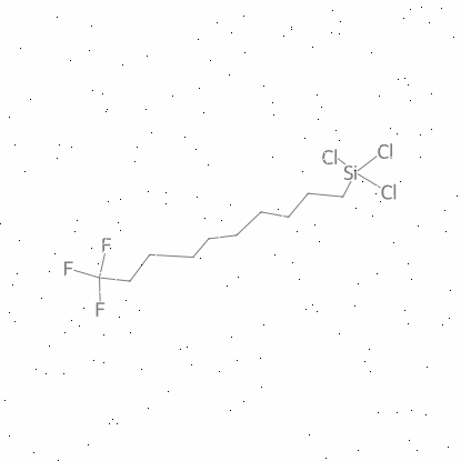 FC(F)(F)CCCCCCCCC[Si](Cl)(Cl)Cl